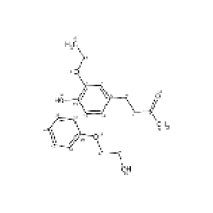 CCOc1cc(CCC(C)=O)ccc1O.OCCOc1ccccc1